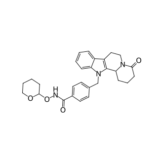 O=C(NOC1CCCCO1)c1ccc(Cn2c3c(c4ccccc42)CCN2C(=O)CCCC32)cc1